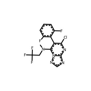 CN(CC(F)(F)F)c1c(-c2c(F)cccc2F)c(Cl)nc2ncnn12